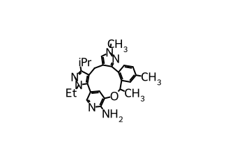 CCn1nc(C(C)C)c2c1-c1cnc(N)c(c1)OC(C)c1cc(C)ccc1-c1nn(C)cc1C2